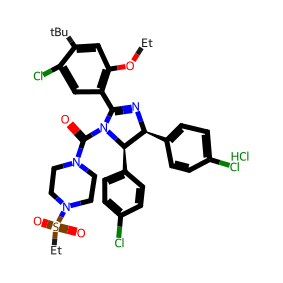 CCOc1cc(C(C)(C)C)c(Cl)cc1C1=N[C@@H](c2ccc(Cl)cc2)[C@@H](c2ccc(Cl)cc2)N1C(=O)N1CCN(S(=O)(=O)CC)CC1.Cl